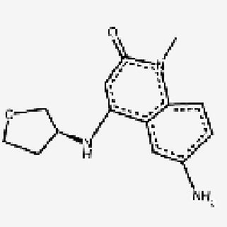 Cn1c(=O)cc(N[C@H]2CCOC2)c2cc(N)ccc21